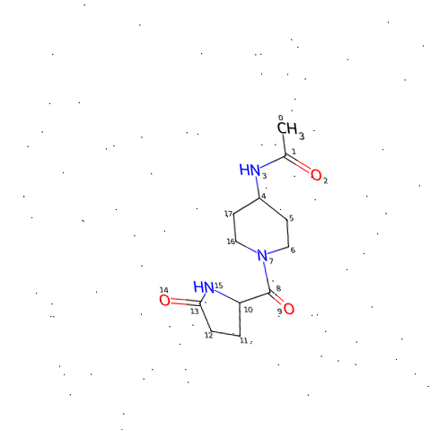 CC(=O)NC1CCN(C(=O)C2CCC(=O)N2)CC1